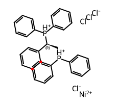 [Cl-].[Cl-].[Cl-].[Cl-].[Ni+2].c1ccc([C@H](C[PH+](c2ccccc2)c2ccccc2)[PH+](c2ccccc2)c2ccccc2)cc1